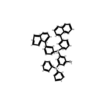 Brc1cc(N(c2ccccc2)c2ccccc2)cc(N(c2cccc(-c3cccc4ccccc34)c2)c2cccc(-c3cccc4ccccc34)c2)c1